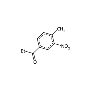 CCC(=O)c1ccc(C)c([N+](=O)[O-])c1